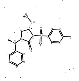 Cc1ccc(S(=O)(=O)N2C(=O)N([C@H](C)c3ccccc3)C[C@@H]2CO)cc1